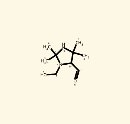 CC1(C)NC(C)(C)N(CO)C1C=O